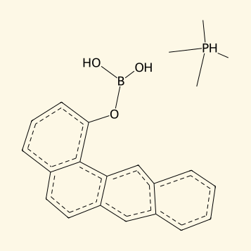 C[PH](C)(C)C.OB(O)Oc1cccc2ccc3cc4ccccc4cc3c12